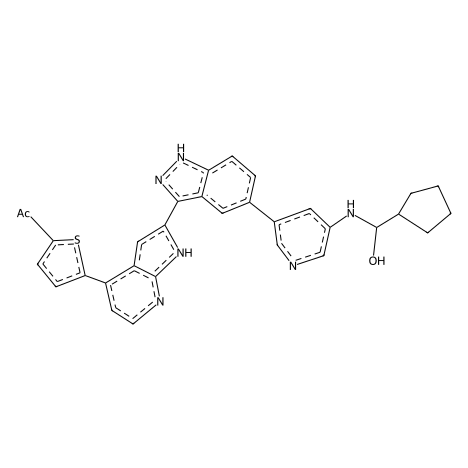 CC(=O)c1ccc(-c2ccnc3[nH]c(-c4n[nH]c5ccc(-c6cncc(NC(O)C7CCCC7)c6)cc45)cc23)s1